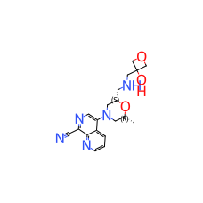 C[C@@H]1CN(c2cnc(C#N)c3ncccc23)C[C@H](CNCC2(O)COC2)O1